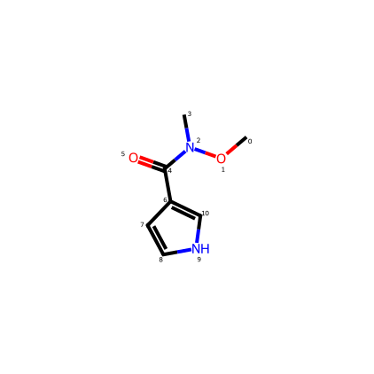 CON(C)C(=O)c1cc[nH]c1